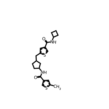 Cc1cc(C(=O)NC2CCC(Cc3cc(C(=O)NC4CCC4)cs3)C2)cs1